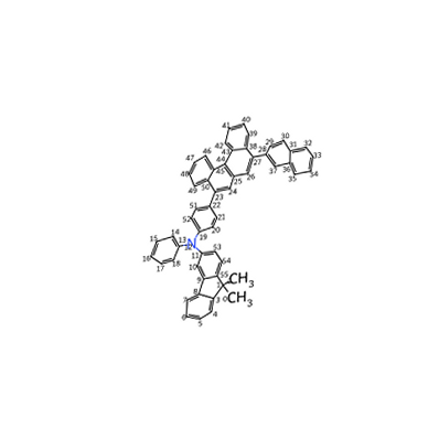 CC1(C)c2ccccc2-c2cc(N(c3ccccc3)c3ccc(-c4cc5cc(-c6ccc7ccccc7c6)c6ccccc6c5c5ccccc45)cc3)ccc21